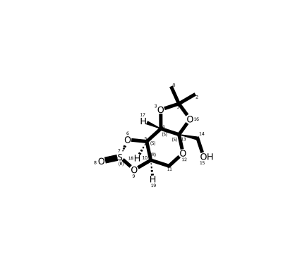 CC1(C)O[C@H]2[C@@H]3O[S@@](=O)O[C@@H]3CO[C@@]2(CO)O1